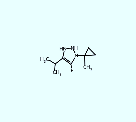 CC(C)C1=C(F)N(C2(C)CC2)NN1